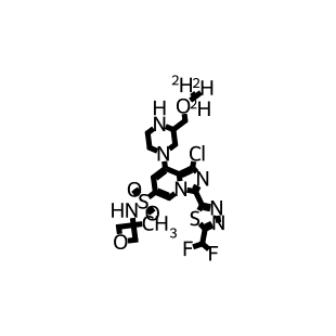 [2H]C([2H])([2H])OCC1CN(c2cc(S(=O)(=O)NC3(C)COC3)cn3c(-c4nnc(C(F)F)s4)nc(Cl)c23)CCN1